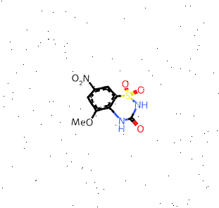 COc1cc([N+](=O)[O-])cc2c1NC(=O)NS2(=O)=O